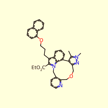 CCOC(=O)c1c(CCCOc2cccc3ccccc23)c2cccc3c2n1Cc1cccnc1COCc1nn(C)c(C)c1-3